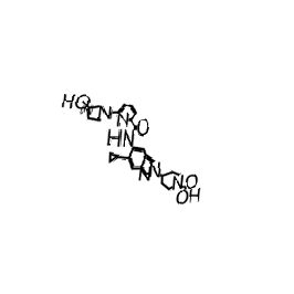 O=C(Nc1cc2cn(C3CCN(C(=O)O)CC3)nc2cc1C1CC1)c1cccc(N2CC[C@@H](O)C2)n1